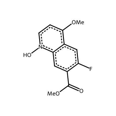 COC(=O)c1cc2c(cc1F)c(OC)cc[n+]2O